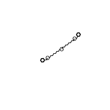 c1ccc(COCCCCCCCCOCCCCCCCCOCc2ccccc2)cc1